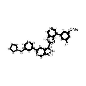 COc1cc(F)cc(-c2cncc3[nH]c(-c4n[nH]c5cnc(-c6cncc(CN7CCCC7)c6)cc45)nc23)c1